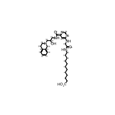 O=C(O)CCCCCCCCCCCNC(=O)CNc1cc(C(=O)NCC(O)CN2CCc3ccccc3C2)ncn1